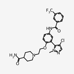 Cn1ncc(Cl)c1-c1cc(NC(=O)c2cccc(C(F)(F)F)c2)ccc1OCCN1CCC(C(N)=O)CC1